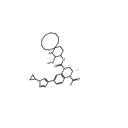 COC1NC2(CCCCCCCCC2)CCC1OC(=O)N1C[C@H](C)N(C(C)=O)c2ccc(-c3cnn(C4CC4)c3)cc21